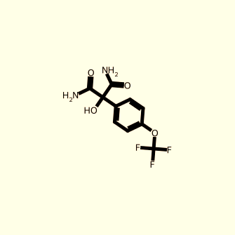 NC(=O)C(O)(C(N)=O)c1ccc(OC(F)(F)F)cc1